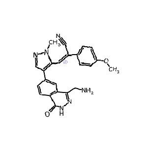 COc1ccc(/C(C#N)=C/c2c(-c3ccc4c(=O)[nH]nc(CN)c4c3)cnn2C)cc1